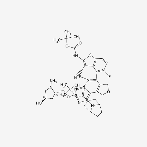 CN1C[C@H](O)C[C@H]1COc1nc(N2C3CCC2CN(C(=O)OC(C)(C)C)C3)c2c3c(c(-c4c(F)ccc5sc(NC(=O)OC(C)(C)C)c(C#N)c45)c(F)c2n1)COC3